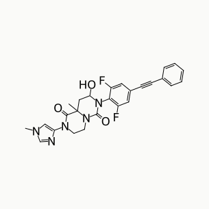 Cn1cnc(N2CCN3C(=O)N(c4c(F)cc(C#Cc5ccccc5)cc4F)C(O)CC3(C)C2=O)c1